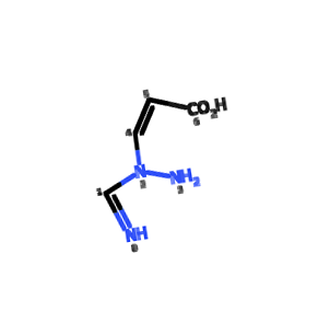 N=CN(N)/C=C\C(=O)O